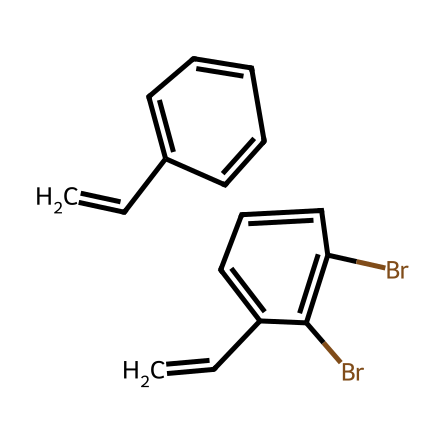 C=Cc1cccc(Br)c1Br.C=Cc1ccccc1